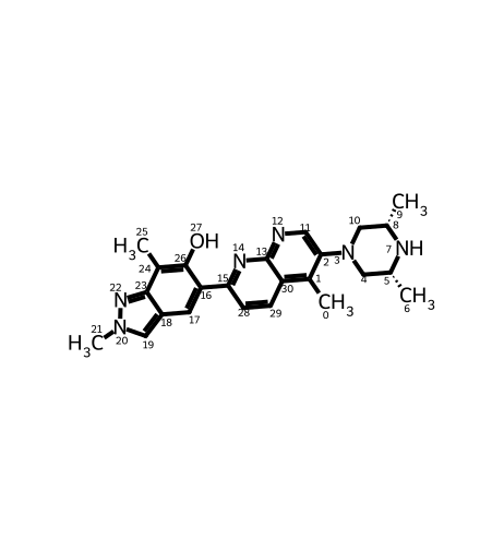 Cc1c(N2C[C@@H](C)N[C@@H](C)C2)cnc2nc(-c3cc4cn(C)nc4c(C)c3O)ccc12